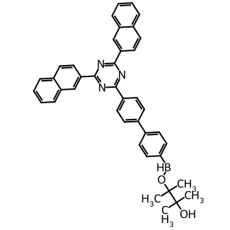 CC(C)(O)C(C)(C)OBc1ccc(-c2ccc(-c3nc(-c4ccc5ccccc5c4)nc(-c4ccc5ccccc5c4)n3)cc2)cc1